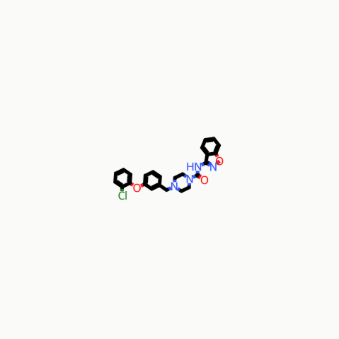 O=C(Nc1noc2ccccc12)N1CCN(Cc2cccc(Oc3ccccc3Cl)c2)CC1